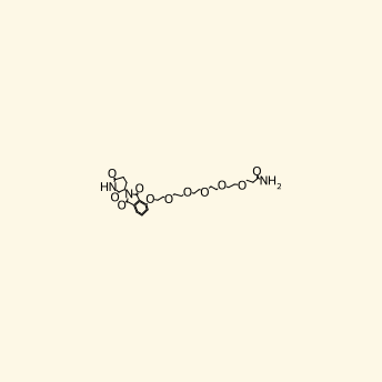 NC(=O)CCOCCOCCOCCOCCOCCOc1cccc2c1C(=O)N(C1CCC(=O)NC1=O)C2=O